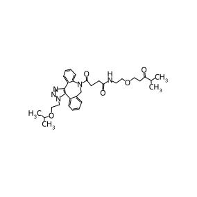 CC(C)OCCn1nnc2c1-c1ccccc1CN(C(=O)CCC(=O)NCCOCCC(=O)C(C)C)c1ccccc1-2